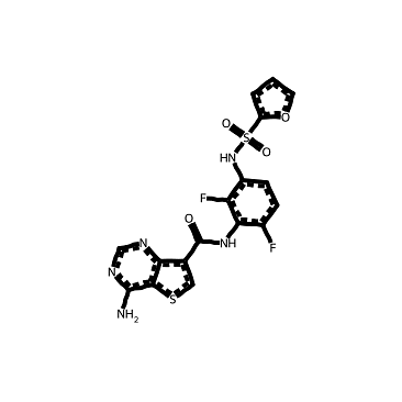 Nc1ncnc2c(C(=O)Nc3c(F)ccc(NS(=O)(=O)c4ccco4)c3F)csc12